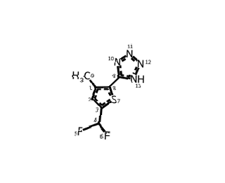 Cc1cc(C(F)F)sc1-c1nnn[nH]1